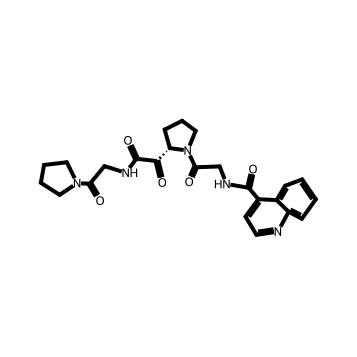 O=C(NCC(=O)N1CCCC1)C(=O)[C@@H]1CCCN1C(=O)CNC(=O)c1ccnc2ccccc12